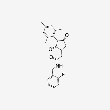 Cc1cc(C)c(C2C(=O)CC(CC(=O)NCc3ccccc3F)C2=O)c(C)c1